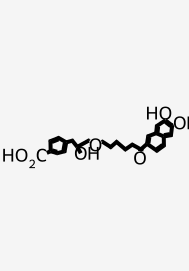 O=C(O)c1ccc(CC(O)COCCCCCC(=O)c2ccc3cc(O)c(O)cc3c2)cc1